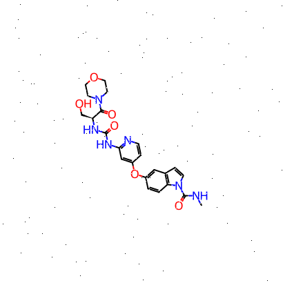 CNC(=O)n1ccc2cc(Oc3ccnc(NC(=O)N[C@@H](CO)C(=O)N4CCOCC4)c3)ccc21